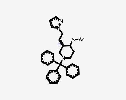 CC(=O)SC1CCN(C(c2ccccc2)(c2ccccc2)c2ccccc2)C/C1=C/Cn1cccn1